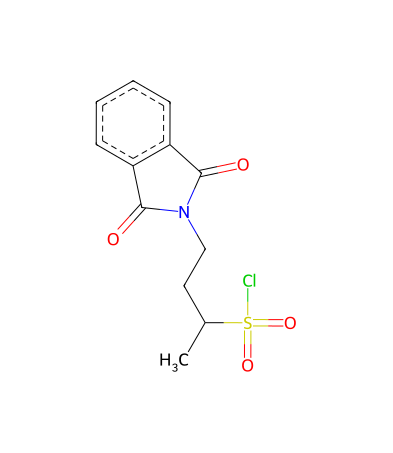 CC(CCN1C(=O)c2ccccc2C1=O)S(=O)(=O)Cl